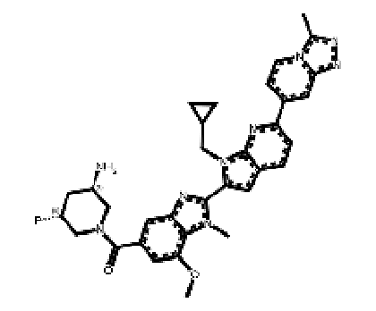 COc1cc(C(=O)N2C[C@H](N)C[C@@H](F)C2)cc2nc(-c3cc4ccc(-c5ccn6c(C)nnc6c5)nc4n3CC3CC3)n(C)c12